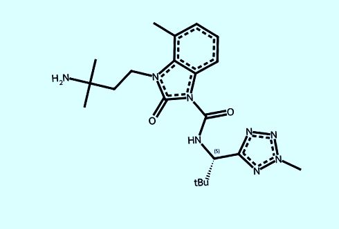 Cc1cccc2c1n(CCC(C)(C)N)c(=O)n2C(=O)N[C@H](c1nnn(C)n1)C(C)(C)C